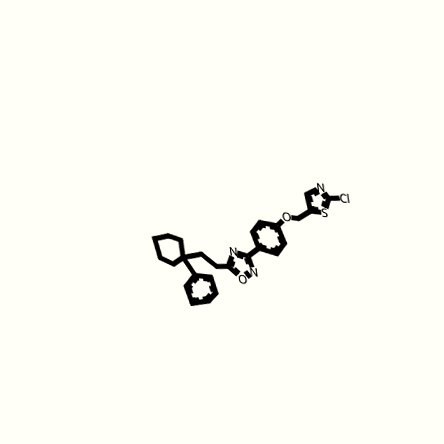 Clc1ncc(COc2ccc(-c3noc(CCC4(c5ccccc5)CCCCC4)n3)cc2)s1